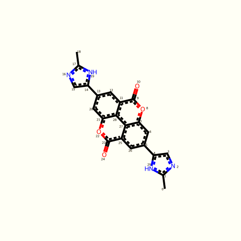 Cc1ncc(-c2cc3oc(=O)c4cc(-c5cnc(C)[nH]5)cc5oc(=O)c(c2)c3c54)[nH]1